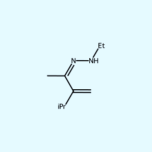 C=C(/C(C)=N\NCC)C(C)C